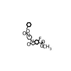 COC(=O)c1cc2c(cc1F)N(C1CCN(C(=O)OCc3ccccc3)CC1)C(=O)C2